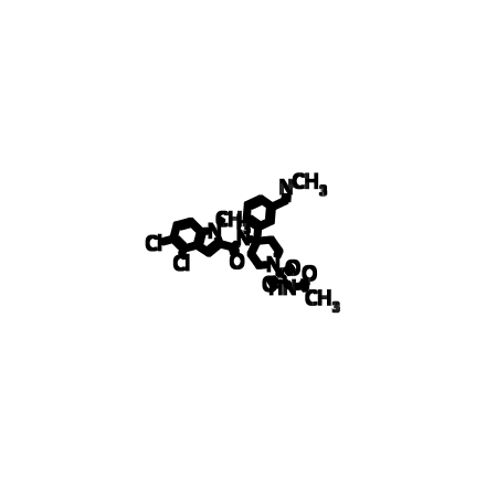 C/N=C/c1cccc(C2(NC(=O)c3cc4c(Cl)c(Cl)ccc4n3C)CCN(S(=O)(=O)NC(C)=O)CC2)c1